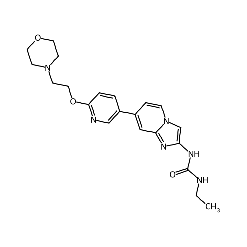 CCNC(=O)Nc1cn2ccc(-c3ccc(OCCN4CCOCC4)nc3)cc2n1